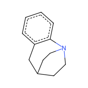 c1ccc2c(c1)CC1CCN2CC1